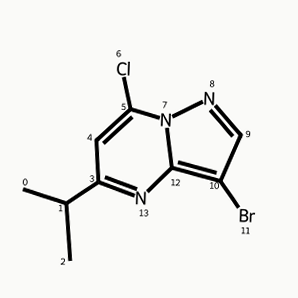 CC(C)c1cc(Cl)n2ncc(Br)c2n1